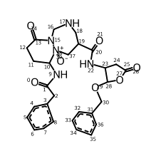 O=C(Cc1ccccc1)NC1CCC(=O)N2CNCC(C(=O)NC3CC(=O)OC3OCc3ccccc3)C[N+]12[O-]